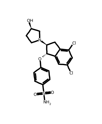 NS(=O)(=O)c1ccc(O[C@H]2c3cc(Cl)cc(Cl)c3C[C@@H]2N2CC[C@@H](O)C2)cc1